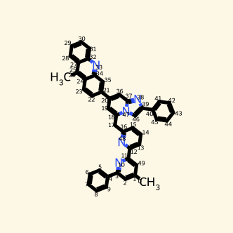 Cc1cc(-c2ccccc2)nc(-c2cccc(Cc3cc(-c4ccc5c(C)c6ccccc6nc5c4)cc4nc(-c5ccccc5)cn34)n2)c1